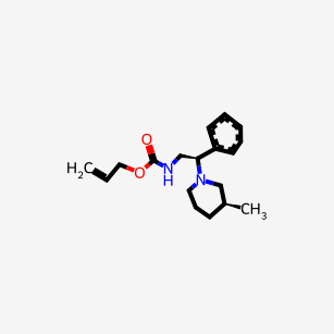 C=CCOC(=O)NC[C@@H](c1ccccc1)N1CCC[C@H](C)C1